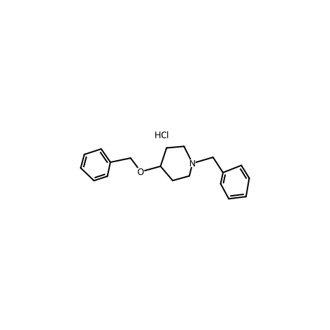 Cl.c1ccc(COC2CCN(Cc3ccccc3)CC2)cc1